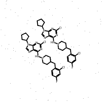 Fc1ccc(CC2CCN(Nc3nc(Cl)nc4c3ncn4C3CCCC3)CC2)c(Cl)c1.Fc1ccc(CC2CCN(Nc3nc(Cl)nc4c3ncn4C3CCCC3)CC2)c(Cl)c1